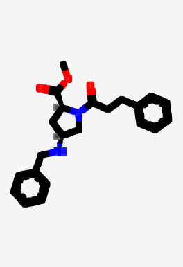 COC(=O)[C@@H]1C[C@@H](NCc2ccccc2)CN1C(=O)CCc1ccccc1